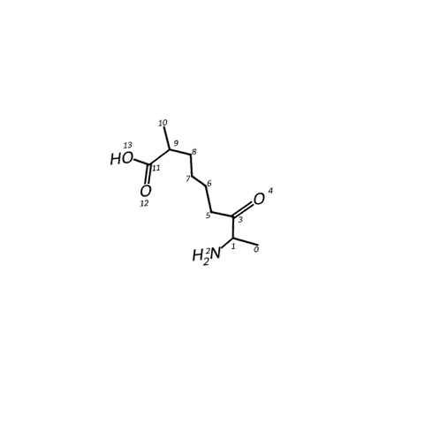 CC(N)C(=O)CCCCC(C)C(=O)O